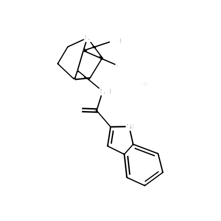 CC1(C)C(NC(=O)c2cc3ccccc3[nH]2)C2CCN1CC2.Cl